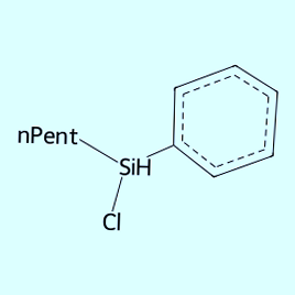 CCCCC[SiH](Cl)c1ccccc1